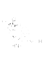 COc1ccccc1C(C(=O)C1(CCCS(=O)(=O)O)CCNC1)c1ccc(Cl)c(Cl)c1